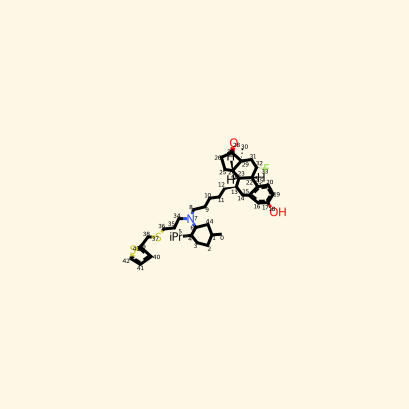 CC1CCC(C(C)C)C(N(CCCCC[C@@H]2Cc3cc(O)ccc3[C@@H]3[C@@H]2[C@@H]2CCC(=O)[C@@]2(C)C[C@@H]3F)CCCSCc2cccs2)C1